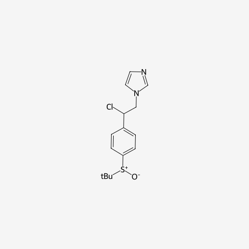 CC(C)(C)[S+]([O-])c1ccc(C(Cl)Cn2ccnc2)cc1